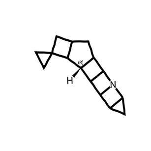 C1C2CC3(CC3)C2[C@@H]2C1C1C2C2C3CC3N21